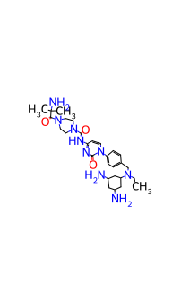 CCN(Cc1ccc(-n2ccc(NC(=O)N3CCN(C(=O)C(C)(C)N)CC3)nc2=O)cc1)C1CC(N)CC(N)C1